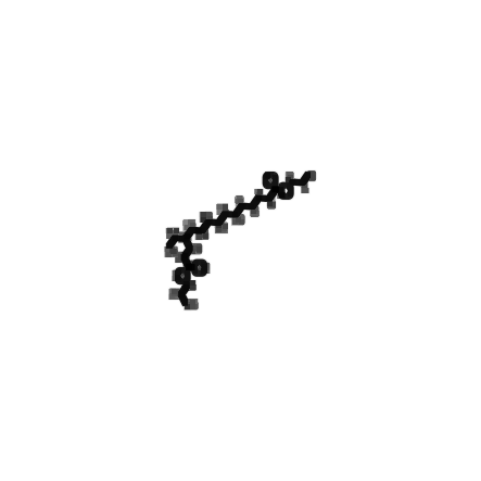 CCCOC(=O)CCCCCCCCCCC(CC)CCC(=O)OCCC